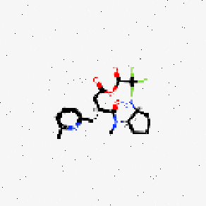 Cc1cccc(C[C@H](CC(=O)OC(=O)C(F)(F)F)C(=O)N(C)[C@H]2CCCC[C@@H]2N)n1